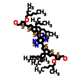 CCCCC(CC)COc1cc(C=O)sc1-c1cc2c(s1)-c1sc(-c3c4c(c(-c5cc6c(s5)-c5sc(-c7sc(C=O)cc7OCC(CC)CCCC)cc5C6(CC(C)CC)CC(CC)CCCC)c5nsnc35)N=S=N4)cc1C2(CC(C)C)CC(CC)CCCC